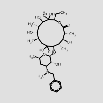 CC[C@H]1OC(=O)[C@H](C)[C@@H](O)[C@H](C)[C@@H](O[C@@H]2O[C@H](C)C[C@H](N(C)Cc3ccccc3)[C@H]2O)C(C)(O)C[C@@H](C)[C@H](O)[C@H](C)[C@@H](O)[C@]1(C)O